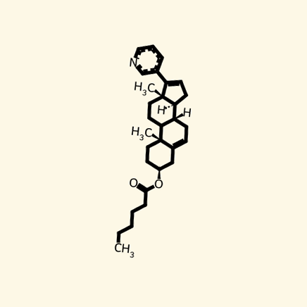 CCCCCC(=O)O[C@H]1CC[C@@]2(C)C(=CC[C@@H]3C2CC[C@]2(C)C(c4cccnc4)=CC[C@@H]32)C1